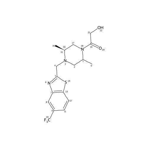 CC1CN(Cc2nc3cc(C(F)(F)F)ccc3s2)[C@@H](C)CN1C(=O)CO